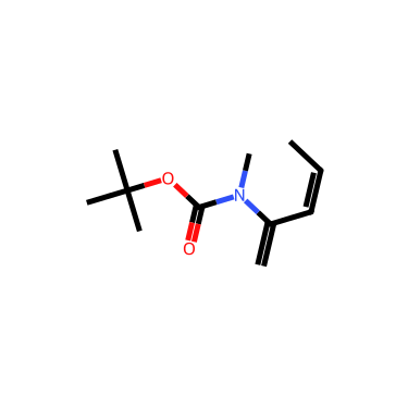 C=C(/C=C\C)N(C)C(=O)OC(C)(C)C